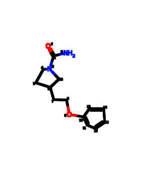 NC(=O)N1CCC(CCOc2ccccc2)C1